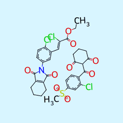 CCOC(=O)/C(Cl)=C/c1cc(N2C(=O)C3=C(CCCC3)C2=O)ccc1Cl.CS(=O)(=O)c1ccc(C(=O)C2C(=O)CCCC2=O)c(Cl)c1